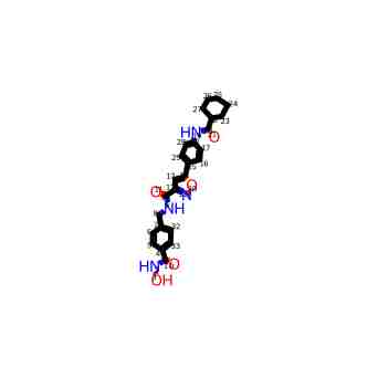 O=C(NO)c1ccc(CNC(=O)c2cc(-c3ccc(NC(=O)C4CCCCC4)cc3)on2)cc1